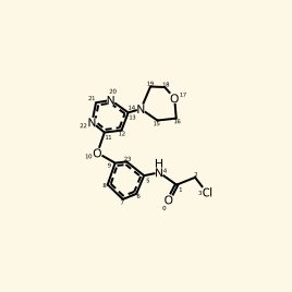 O=C(CCl)Nc1cccc(Oc2cc(N3CCOCC3)ncn2)c1